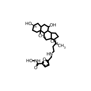 C[C@H](CCNCc1ccc(C(=O)NO)o1)C1CCC2C3C(O)CC4C[C@H](O)CCC4(C)C3CCC21C